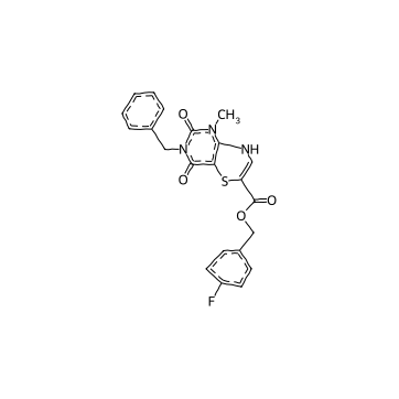 Cn1c2c(c(=O)n(Cc3ccccc3)c1=O)SC(C(=O)OCc1ccc(F)cc1)=CN2